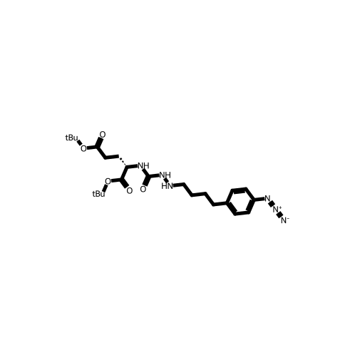 CC(C)(C)OC(=O)CC[C@H](NC(=O)NNCCCCc1ccc(N=[N+]=[N-])cc1)C(=O)OC(C)(C)C